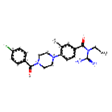 N=C(N)N(CS(=O)(=O)O)C(=O)c1ccc(N2CCN(C(=O)c3ccc(F)cc3)CC2)c(C(F)(F)F)c1